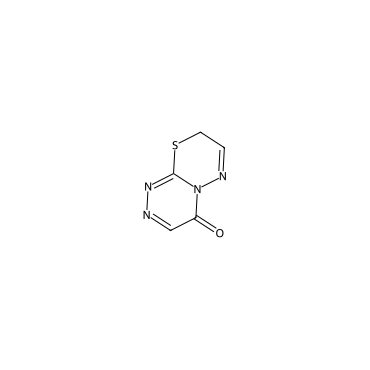 O=c1cnnc2n1N=CCS2